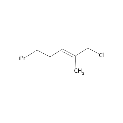 C/C(=C\CCC(C)C)CCl